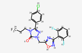 O=c1n(Cc2nc(-c3c(F)cccc3F)no2)nc(-c2ccc(Cl)cc2)n1CCC(F)(F)F